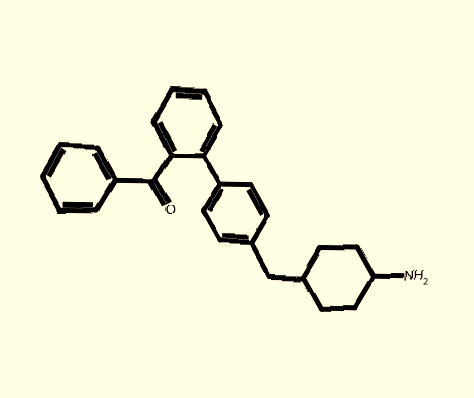 NC1CCC(Cc2ccc(-c3ccccc3C(=O)c3ccccc3)cc2)CC1